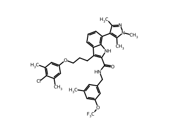 Cc1cc(CNC(=O)c2[nH]c3c(-c4c(C)nn(C)c4C)cccc3c2CCCOc2cc(C)c(Cl)c(C)c2)cc(OC(F)(F)F)c1